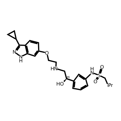 CC(C)CS(=O)(=O)Nc1cccc([C@@H](O)CNCCOc2ccc3c(C4CC4)n[nH]c3c2)c1